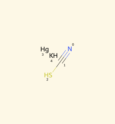 N#CS.[Hg].[KH]